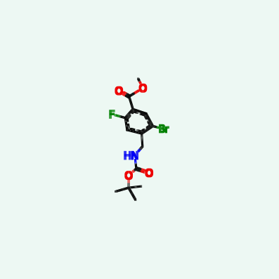 COC(=O)c1cc(Br)c(CNC(=O)OC(C)(C)C)cc1F